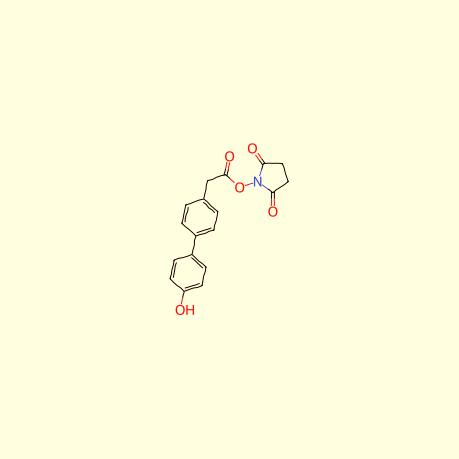 O=C(Cc1ccc(-c2ccc(O)cc2)cc1)ON1C(=O)CCC1=O